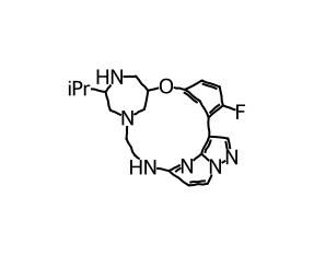 CC(C)C1CN2CCNc3ccn4ncc(c4n3)-c3cc(ccc3F)OC(CN1)C2